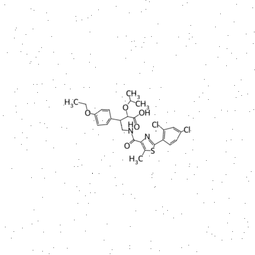 CCOc1ccc(C(CNC(=O)c2nc(-c3ccc(Cl)cc3Cl)sc2C)C(OC(C)C)C(=O)O)cc1